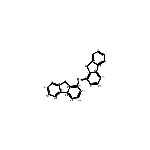 c1ccc2c(c1)Cc1[c]([Al][c]3cccc4c3Cc3ccccc3-4)cccc1-2